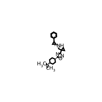 CN(C)[C@H]1CC[C@@H](c2nc(C3(CN[C@@H]4CC4c4ccccc4)CC3)no2)CC1